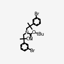 CC(C)(C)OC(=O)N(CC(C)(C)c1cccc(Br)c1)CC(C)(C#N)c1cccc(Br)c1